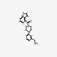 NCc1cccc(C2CCN(C(=O)c3cccc4occc34)CC2)c1